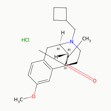 COc1ccc2c(c1)[C@]13CCN(CC4CCC4)[C@H](C2)[C@@H]1C(C)CC(=O)C3.Cl